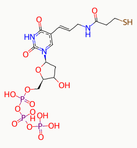 O=C(CCS)NC/C=C/c1cn([C@H]2CC(O)[C@@H](COP(=O)(O)OP(=O)(O)OP(=O)(O)O)O2)c(=O)[nH]c1=O